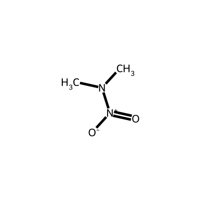 CN(C)[N+](=O)[O-]